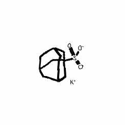 O=S(=O)([O-])C12CC3CC(CC(C3)C1)C2.[K+]